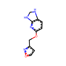 c1cc(COc2ccc3c(n2)NCN3)no1